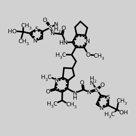 COc1nc2c(c(NC(=O)N=S(N)(=O)c3cnc(C(C)(C)O)s3)c1C(C)CC1Cc3c(NC(=O)N=S(N)(=O)c4cnc(C(C)(C)O)s4)c(C(C)C)c(=O)n(C)c3C1)CCC2